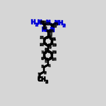 CCCCCc1ccc(-c2ccc(-c3nc(N)nc(N)n3)cc2)cc1